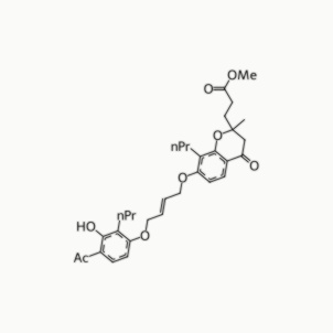 CCCc1c(OC/C=C/COc2ccc3c(c2CCC)OC(C)(CCC(=O)OC)CC3=O)ccc(C(C)=O)c1O